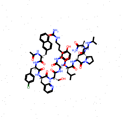 CC(=O)N[C@H](Cc1ccc2ccccc2c1)C(=O)N[C@H](Cc1ccc(Cl)cc1)C(=O)N[C@H](Cc1cccnc1)C(=O)N[C@@H](CO)C(=O)N[C@@H](Cc1ccc(O)cc1)C(=O)N[C@H](CCCCNC(N)=O)C(=O)N[C@H](CC(C)C)C(=O)N[C@@H](CCCCNC(C)C)C(=O)N1CCC[C@H]1C(=O)N[C@H](C)C(N)=O